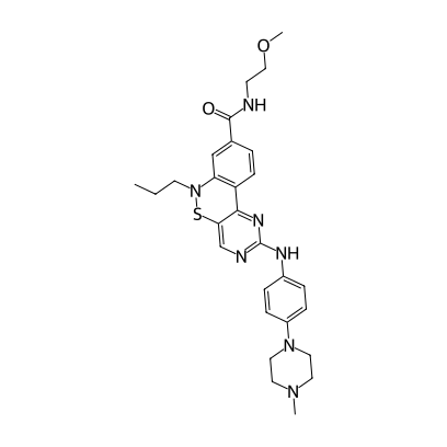 CCCN1Sc2cnc(Nc3ccc(N4CCN(C)CC4)cc3)nc2-c2ccc(C(=O)NCCOC)cc21